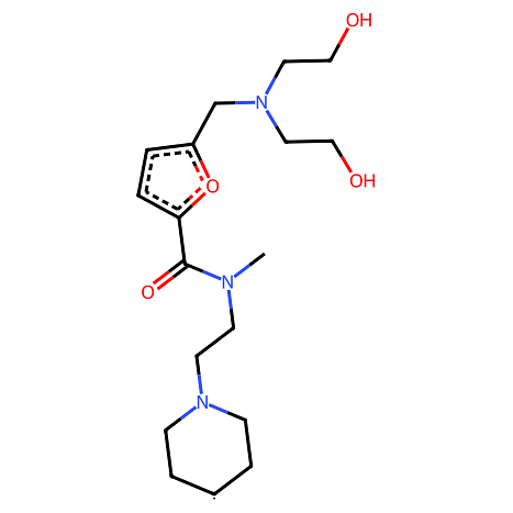 CN(CCN1CC[CH]CC1)C(=O)c1ccc(CN(CCO)CCO)o1